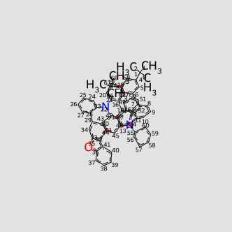 CC(C)(C)c1cc(-c2cccc3cccc(-c4ccccc4N(c4ccccc4-c4ccc5c(c4)oc4ccccc45)c4cccc5c4c4ccccc4n5-c4ccccc4)c23)cc(C(C)(C)C)c1